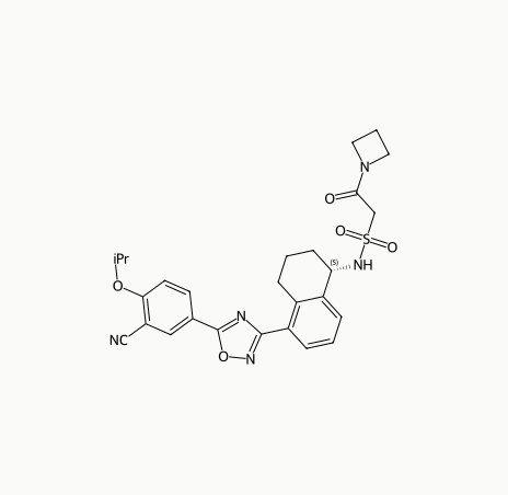 CC(C)Oc1ccc(-c2nc(-c3cccc4c3CCC[C@@H]4NS(=O)(=O)CC(=O)N3CCC3)no2)cc1C#N